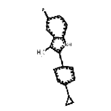 Cc1c(-c2ccc(C3CC3)cc2)[nH]c2ccc(F)cc12